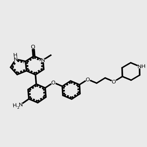 Cn1cc(-c2cc(N)ccc2Oc2cccc(OCCOC3CCNCC3)c2)c2cc[nH]c2c1=O